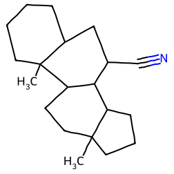 CC12CCCC1C1C(C#N)CC3CCCCC3(C)C1CC2